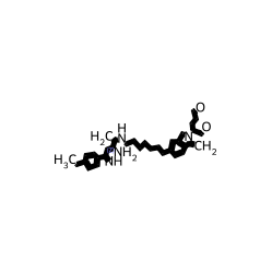 C=C(NCCCCCCCc1ccc2c(c1)CN(C(C=O)CCC=O)C2=C)/C(N)=C/C(=N)c1ccc(CC)cc1